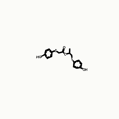 CC(CSc1ccc(O)cc1)OC(=O)CSc1ccc(O)cc1